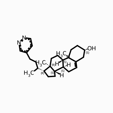 CC(CCc1ccnnc1)[C@H]1CC[C@H]2[C@@H]3CC=C4C[C@@H](O)CC[C@]4(C)[C@H]3CC[C@]12C